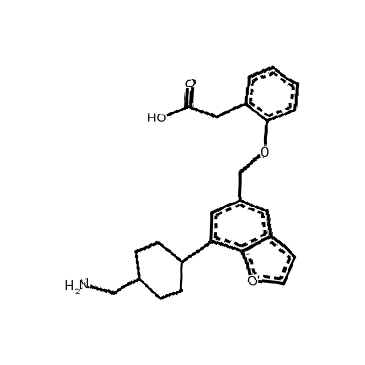 NCC1CCC(c2cc(COc3ccccc3CC(=O)O)cc3ccoc23)CC1